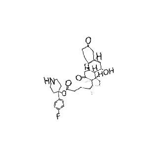 C[C@H](CCC(=O)OC1(c2ccc(F)cc2)CCNCC1)[C@H]1CC[C@H]2[C@@H]3C(O)C[C@@H]4CC(=O)CC[C@]4(C)[C@H]3CC(=O)[C@]12C